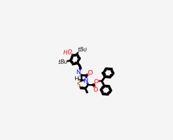 CC1=CS[C@H]2[C@H](N=Cc3cc(C(C)(C)C)c(O)c(C(C)(C)C)c3)C(=O)N2C1C(=O)OC(c1ccccc1)c1ccccc1